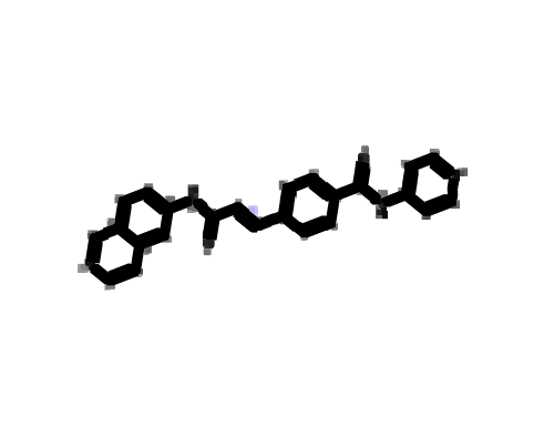 O=C(/C=C/c1ccc(C(=O)Nc2ccncc2)cc1)Nc1ccc2cnccc2c1